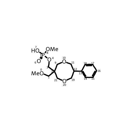 COCC1(COP(=O)(O)OC)COCC(c2ccccc2)COC1